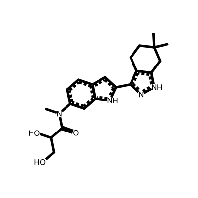 CN(C(=O)C(O)CO)c1ccc2cc(-c3n[nH]c4c3CCC(C)(C)C4)[nH]c2c1